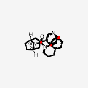 O=C(N1CCCc2ccccc21)N1[C@@H]2CC[C@H]1CC(c1cccnc1)C2